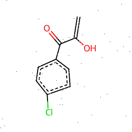 C=C(O)C(=O)c1ccc(Cl)cc1